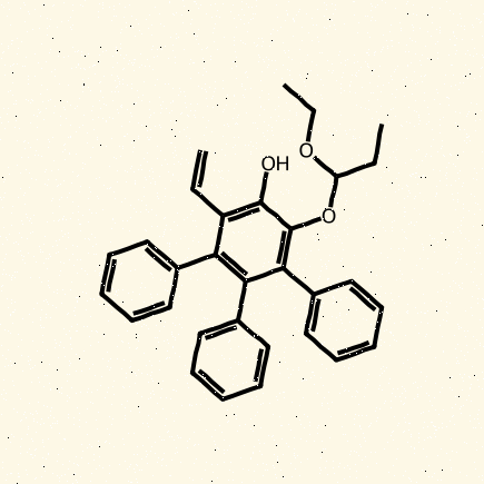 C=Cc1c(O)c(OC(CC)OCC)c(-c2ccccc2)c(-c2ccccc2)c1-c1ccccc1